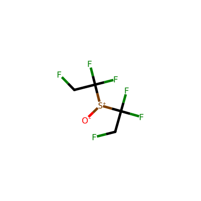 [O-][S+](C(F)(F)CF)C(F)(F)CF